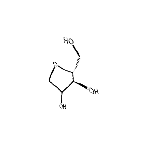 OC[C@H]1OCC(O)[C@@H]1O